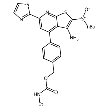 CCCC[S+]([O-])c1sc2nc(-c3nccs3)cc(-c3ccc(COC(=O)NCC)cc3)c2c1N